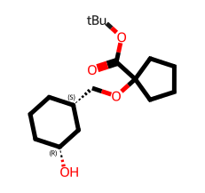 CC(C)(C)OC(=O)C1(OC[C@H]2CCC[C@@H](O)C2)CCCC1